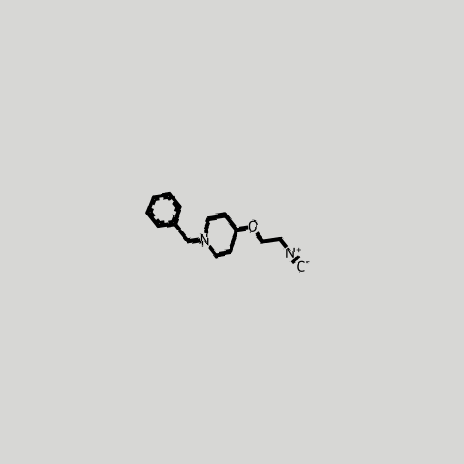 [C-]#[N+]CCOC1CCN(Cc2ccccc2)CC1